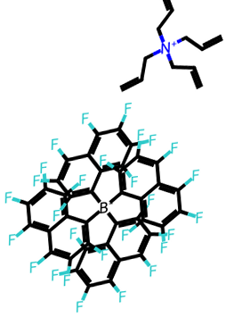 C=CC[N+](CC=C)(CC=C)CC=C.Fc1c(F)c(F)c2c([B-](c3c(F)c(F)c(F)c4c(F)c(F)c(F)c(F)c34)(c3c(F)c(F)c(F)c4c(F)c(F)c(F)c(F)c34)c3c(F)c(F)c(F)c4c(F)c(F)c(F)c(F)c34)c(F)c(F)c(F)c2c1F